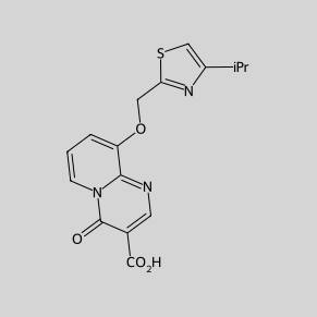 CC(C)c1csc(COc2cccn3c(=O)c(C(=O)O)cnc23)n1